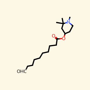 CN1CCC(OC(=O)CCCCCCCCC=O)CC1(C)C